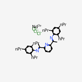 CCCc1cc(CCC)c(N=C(C)c2cccc(C(C)=Nc3c(CCC)cc(CCC)cc3CCC)n2)c(CCC)c1.[Cl-].[Cl-].[Cl-].[Nd+3]